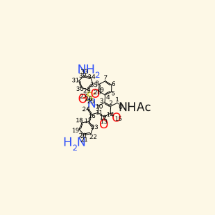 CC(=O)NCC1=C(c2ccccc2)C2C(C(=O)C1=O)C(c1ccc(N)cc1)=CN2S(=O)(=O)c1ccc(N)cc1